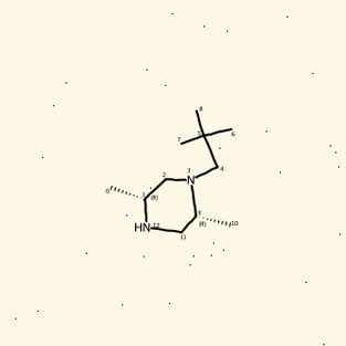 C[C@@H]1CN(CC(C)(C)C)[C@H](C)CN1